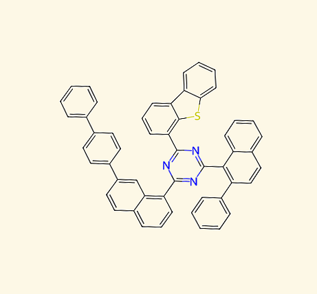 c1ccc(-c2ccc(-c3ccc4cccc(-c5nc(-c6c(-c7ccccc7)ccc7ccccc67)nc(-c6cccc7c6sc6ccccc67)n5)c4c3)cc2)cc1